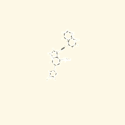 COc1cc(-c2cnn(C)c2)cn2ncc(C#Cc3ccnc4ncccc34)c12